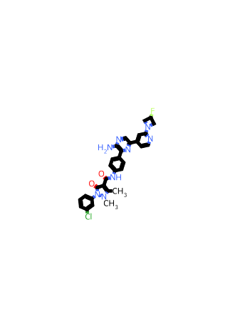 Cc1c(C(=O)Nc2ccc(-c3nc(-c4ccnc(N5CC(F)C5)c4)cnc3N)cc2)c(=O)n(-c2cccc(Cl)c2)n1C